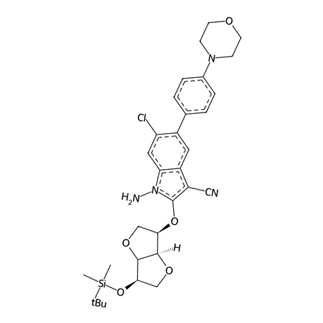 CC(C)(C)[Si](C)(C)O[C@@H]1CO[C@H]2C1OC[C@H]2Oc1c(C#N)c2cc(-c3ccc(N4CCOCC4)cc3)c(Cl)cc2n1N